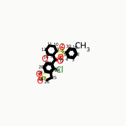 Cc1cccc(S(=O)(=O)C2CCCC(=O)C2C(=O)c2ccc3c(c2Cl)CCS3(=O)=O)c1